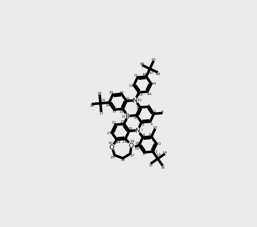 Cc1cc2c3c(c1)N(c1c(C)cc(C(C)(C)C)cc1C)c1c(ccc4c1OCCCO4)B3c1cc(C(C)(C)C)ccc1N2c1ccc(C(C)(C)C)cc1